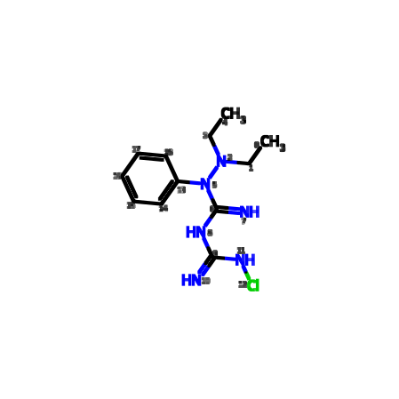 CCN(CC)N(C(=N)NC(=N)NCl)c1ccccc1